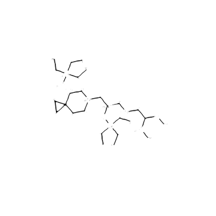 CC[Si](CC)(CC)O[C@H](CNCC(OC)OC)CN1CCC2(CC2)[C@H](O[Si](CC)(CC)CC)C1